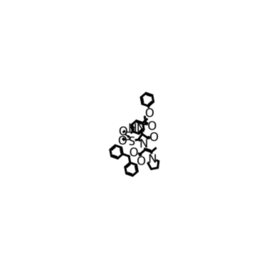 CC(=C(C(=O)OC(c1ccccc1)c1ccccc1)N1C(=O)C(NC(=O)COc2ccccc2)C1SS(=O)(=O)c1ccc(C)cc1)N1CCCC1